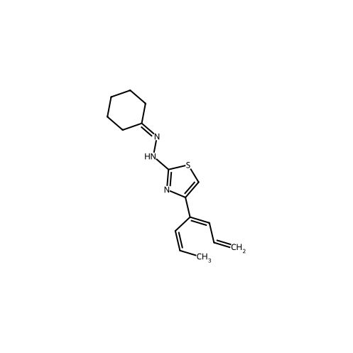 C=C/C=C(\C=C/C)c1csc(NN=C2CCCCC2)n1